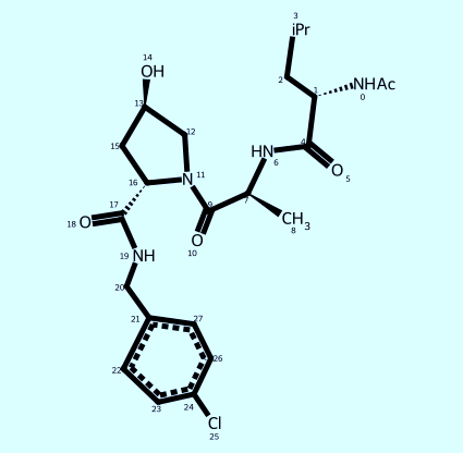 CC(=O)N[C@@H](CC(C)C)C(=O)N[C@@H](C)C(=O)N1C[C@H](O)C[C@H]1C(=O)NCc1ccc(Cl)cc1